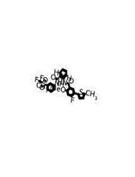 COc1cc(F)c(-c2ccc(C)s2)cc1C(=O)N[C@H]1[C@@H](C(=O)Nc2cccc(S(=O)(=O)C(C)(F)F)c2)[C@@H]2C=C[C@H]1C2